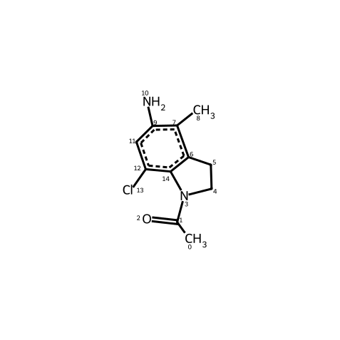 CC(=O)N1CCc2c(C)c(N)cc(Cl)c21